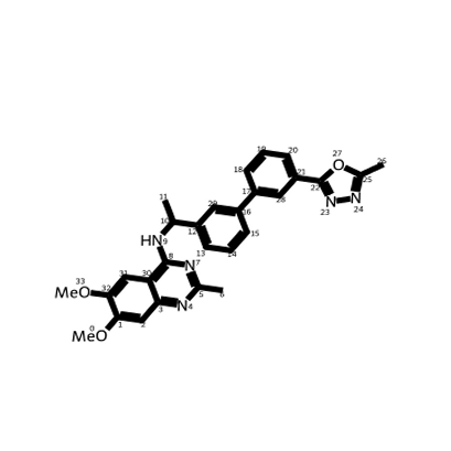 COc1cc2nc(C)nc(NC(C)c3cccc(-c4cccc(-c5nnc(C)o5)c4)c3)c2cc1OC